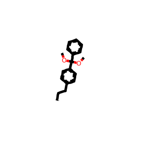 [CH2]CCc1ccc(C(OC)(OC)c2ccccc2)cc1